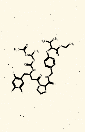 CCOC(=O)C(Oc1ccc(CNC(=O)C2SCCN2C(=O)CC(Cc2cc(F)c(F)cc2F)NC(=O)OC(C)OC(C)=O)cc1)C(C)C